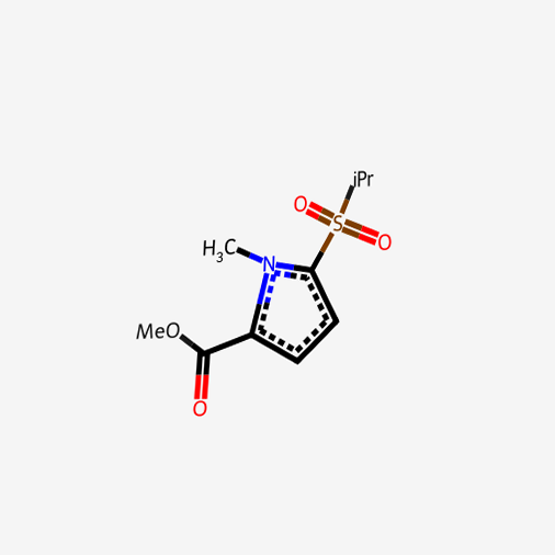 COC(=O)c1ccc(S(=O)(=O)C(C)C)n1C